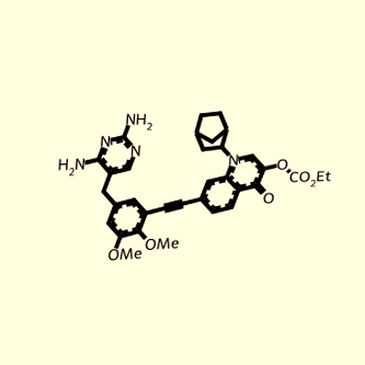 CCOC(=O)Oc1cn(C2CC3CCC2C3)c2cc(C#Cc3cc(Cc4cnc(N)nc4N)cc(OC)c3OC)ccc2c1=O